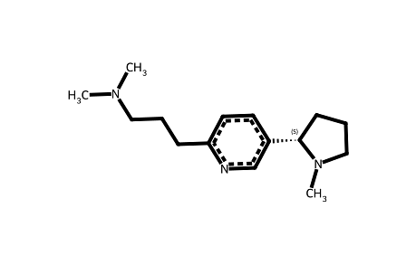 CN(C)CCCc1ccc([C@@H]2CCCN2C)cn1